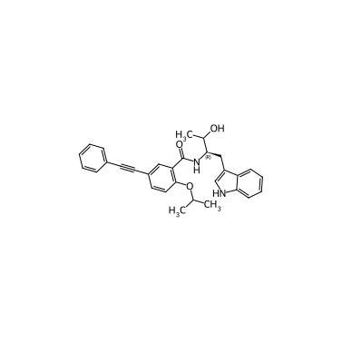 CC(C)Oc1ccc(C#Cc2ccccc2)cc1C(=O)N[C@H](Cc1c[nH]c2ccccc12)C(C)O